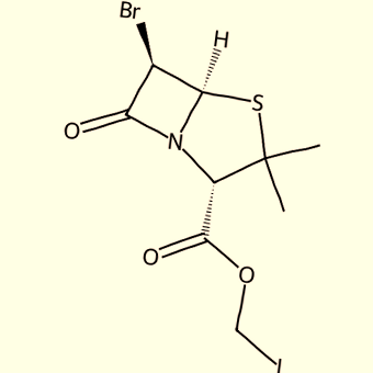 CC1(C)S[C@@H]2[C@H](Br)C(=O)N2[C@H]1C(=O)OCI